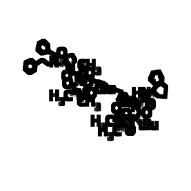 C[C@@H](OCC#CC#CCO[C@H]1C[C@@H](C(=O)N[C@@H]2CCCc3ccccc32)N(C(=O)[C@@H](NC(=O)[C@H](C)N(C)C(=O)OC(C)(C)C)C(C)(C)C)C1)[C@H](NC(=O)[C@H](C)N(C)C(=O)OC(C)(C)C)C(=O)N1CCC[C@H]1CN(CCc1ccccc1)C(=O)c1ccccc1